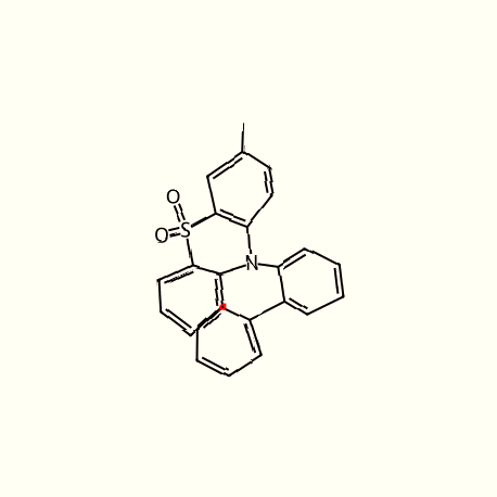 Cc1ccc2c(c1)S(=O)(=O)c1ccccc1N2c1ccccc1-c1ccccc1